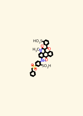 Cn1c(=O)c(C(=O)c2cccc(S(=O)(=O)O)c2)c2c3c(c(Nc4ccc(S(=O)(=O)Cc5ccccc5)cc4S(=O)(=O)O)ccc31)C(=O)c1ccccc1-2